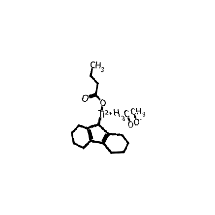 CCCC(=O)[O][Ti+2][CH]1C2=C(CCCC2)C2=C1CCCC2.C[O-].C[O-]